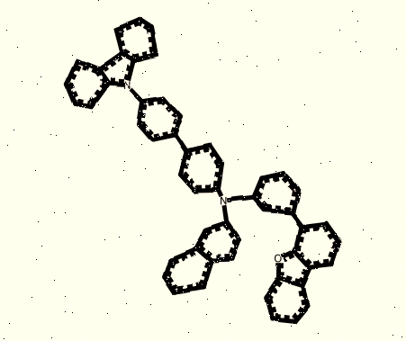 c1cc(-c2cccc3c2oc2ccccc23)cc(N(c2ccc(-c3ccc(-n4c5ccccc5c5ccccc54)cc3)cc2)c2ccc3ccccc3c2)c1